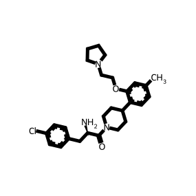 Cc1ccc(C2CCN(C(=O)[C@H](N)Cc3ccc(Cl)cc3)CC2)c(OCCN2CCCC2)c1